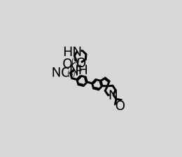 N#C[C@H](Cc1ccc(-c2ccc3c(c2)C=CC32CCN(C3COC3)CC2)cc1F)NC(=O)[C@@H]1CNCCCO1